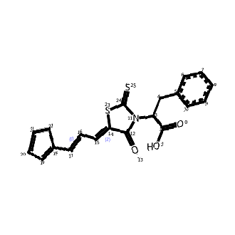 O=C(O)C(Cc1ccccc1)N1C(=O)/C(=C/C=C/C2=CC=CC2)SC1=S